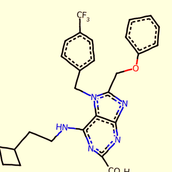 O=C(O)c1nc(NCCC2CCC2)c2c(n1)nc(COc1ccccc1)n2Cc1ccc(C(F)(F)F)cc1